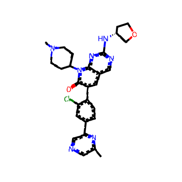 Cc1cncc(-c2ccc(-c3cc4cnc(N[C@@H]5CCOC5)nc4n(C4CCN(C)CC4)c3=O)c(Cl)c2)n1